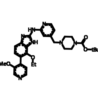 CCOc1c(-c2ccncc2OC)ccc2nc(Nc3cc(CN4CCN(C(=O)OC(C)(C)C)CC4)ccn3)[nH]c12